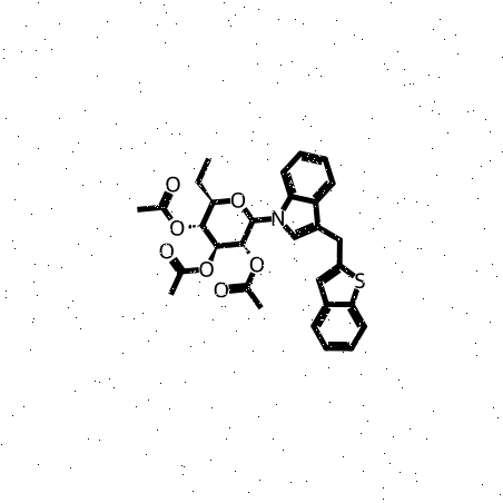 CC[C@H]1OC(n2cc(Cc3cc4ccccc4s3)c3ccccc32)[C@H](OC(C)=O)[C@@H](OC(C)=O)[C@@H]1OC(C)=O